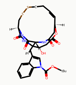 CC(C)[C@H]1NC(=O)[C@H]2CSSCC/C=C\[C@H](CC(=O)N[C@H](Cc3cn(C(=O)OC(C)(C)C)c4ccccc34)C(=O)N2)OC(=O)C[C@@H]1O